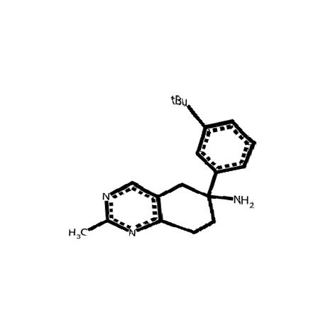 Cc1ncc2c(n1)CCC(N)(c1cccc(C(C)(C)C)c1)C2